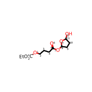 CCOC(=O)OCCCC(=O)OC1CCC(O)O1